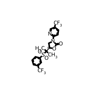 CC(C)([C@H]1CN(c2ccc(C(F)(F)F)cn2)C(=O)O1)S(=O)(=O)c1cccc(C(F)(F)F)c1